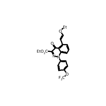 CCO/C=C/c1cccc2c1c(=O)c(C(=O)OCC)nn2-c1ccc(OC(F)(F)F)cc1